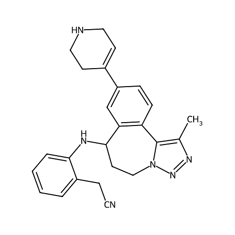 Cc1nnn2c1-c1ccc(C3=CCNCC3)cc1C(Nc1ccccc1CC#N)CC2